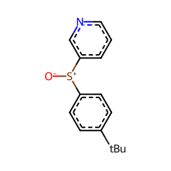 CC(C)(C)c1ccc([S+]([O-])c2cccnc2)cc1